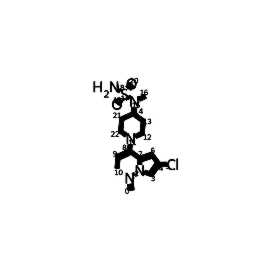 C=Nn1cc(Cl)cc1/C(=C\C)N1CCC(N(C)S(N)(=O)=O)CC1